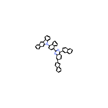 c1ccc2cc(-c3ccc4c(-c5ccc6ccccc6c5)nc(-c5ccc(-n6c7ccccc7c7cc8ccccc8cc76)c6ccccc56)nc4c3)ccc2c1